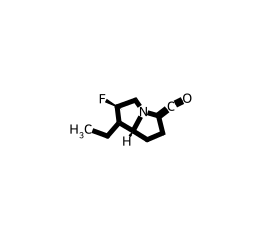 CCC1[C@@H](F)CN2C(=C=O)CC[C@@H]12